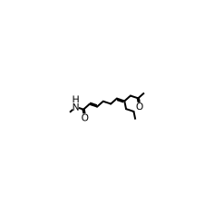 CCC/C(=C\CC/C=C/C(=O)NC)CC(C)=O